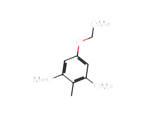 COCOc1cc(OC)c(C)c(OC)c1